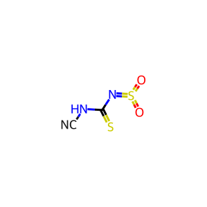 N#CNC(=S)N=S(=O)=O